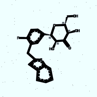 O=C1[C@@H](O)[C@H](c2ccc(F)c(Cc3cc4ccccc4s3)c2)O[C@H](CO)[C@H]1O